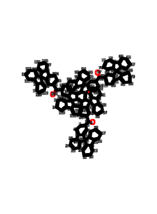 O=C(c1ccc2c(c1)C1(c3ccccc3-c3ccccc31)c1ccccc1-2)c1ccc2c(c1)C1(c3ccccc3-c3ccccc31)c1c-2c2c(c3c1-c1ccc(C(=O)c4ccc5c(c4)C4(c6ccccc6-c6ccccc64)c4ccccc4-5)cc1C31c3ccccc3-c3ccccc31)-c1ccc(C(=O)c3ccc4c(c3)C3(c5ccccc5-c5ccccc53)c3ccccc3-4)cc1C21c2ccccc2-c2ccccc21